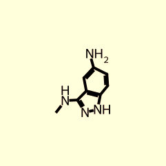 CNc1n[nH]c2ccc(N)cc12